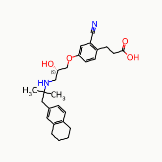 CC(C)(Cc1ccc2c(c1)CCCC2)NC[C@H](O)COc1ccc(CCC(=O)O)c(C#N)c1